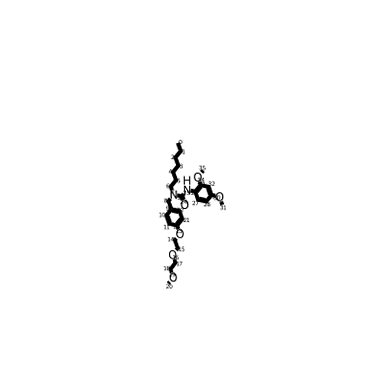 CCCCCCCN(Cc1ccc(OCCOCCOC)cc1)C(=O)Nc1ccc(OC)cc1OC